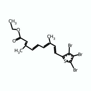 CCOC(=O)C=C(C)C=CC=C(C)C=Cc1sc(Br)c(Br)c1Br